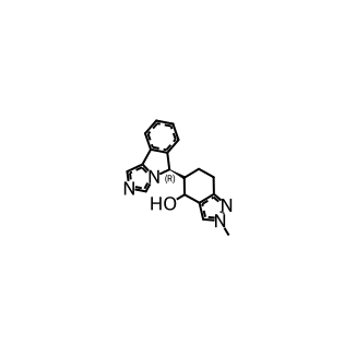 Cn1cc2c(n1)CCC([C@@H]1c3ccccc3-c3cncn31)C2O